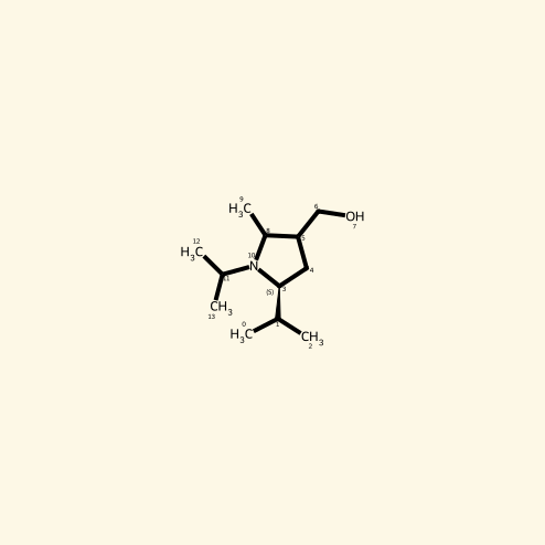 CC(C)[C@@H]1CC(CO)C(C)N1C(C)C